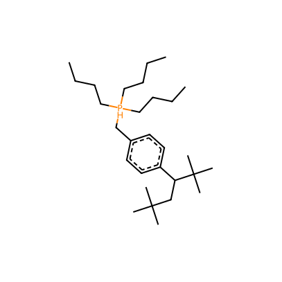 CCCC[PH](CCCC)(CCCC)Cc1ccc(C(CC(C)(C)C)C(C)(C)C)cc1